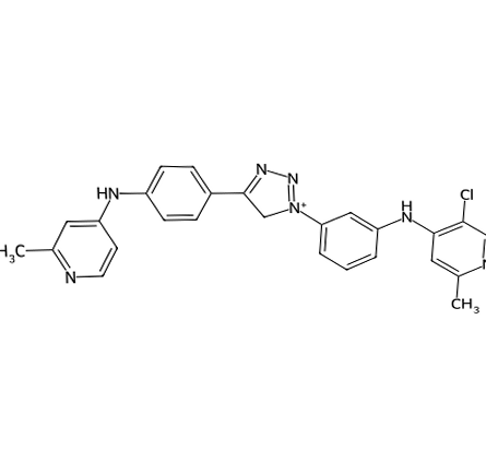 Cc1cc(Nc2ccc(C3=NN=[N+](c4cccc(Nc5cc(C)ncc5Cl)c4)C3)cc2)ccn1